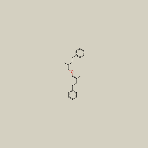 CC(=COC=C(C)CCc1ccccc1)CCc1ccccc1